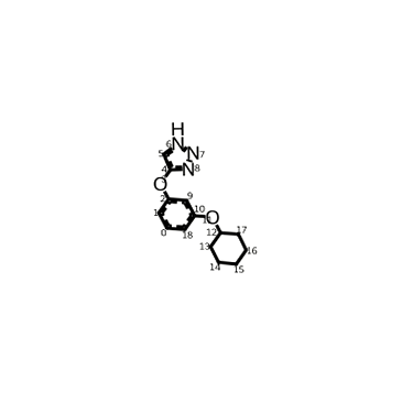 c1cc(Oc2c[nH]nn2)cc(OC2CCCCC2)c1